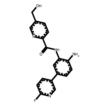 Nc1ccc(-c2ccc(F)nc2)cc1NC(=O)c1ccc(CO)cn1